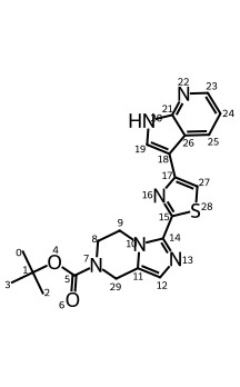 CC(C)(C)OC(=O)N1CCn2c(cnc2-c2nc(-c3c[nH]c4ncccc34)cs2)C1